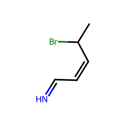 CC(Br)/C=C\C=N